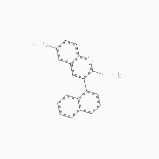 CCOC(=O)c1nc2ccc(N)cc2cc1-c1cccc2ccccc12